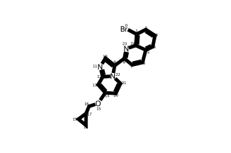 Brc1cccc2ccc(-c3cnc4cc(OCC5CC5)ccn34)nc12